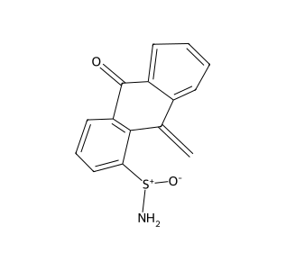 C=C1c2ccccc2C(=O)c2cccc([S+](N)[O-])c21